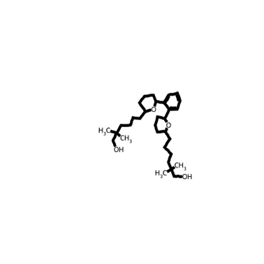 CC(C)(CO)CCCCC1CCCC(c2ccccc2C2CCCC(CCCCC(C)(C)CO)O2)O1